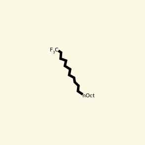 [CH2]CCCCCCCCCCCCCCCCCC(F)(F)F